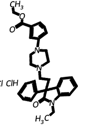 CCOC(=O)c1cccc(N2CCN(CCC3(c4ccccc4)C(=O)N(CC)c4ccccc43)CC2)c1.Cl.Cl